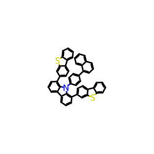 c1ccc2c(-c3ccc(-n4c5c(-c6ccc7c(c6)sc6ccccc67)cccc5c5cccc(-c6ccc7c(c6)sc6ccccc67)c54)cc3)cccc2c1